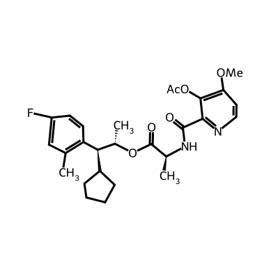 COc1ccnc(C(=O)N[C@@H](C)C(=O)O[C@@H](C)[C@H](c2ccc(F)cc2C)C2CCCC2)c1OC(C)=O